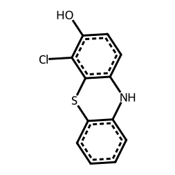 Oc1ccc2c(c1Cl)Sc1ccccc1N2